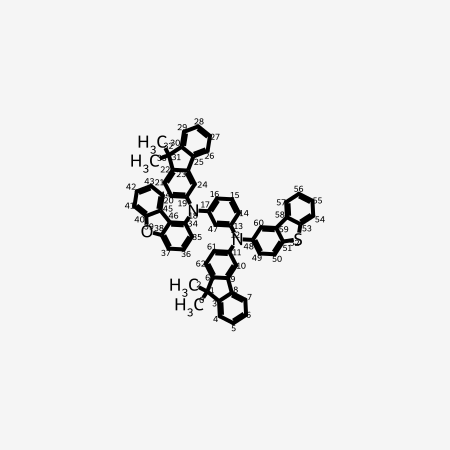 CC1(C)c2ccccc2-c2cc(N(c3cccc(N(c4ccc5c(c4)-c4ccccc4C5(C)C)c4cccc5oc6ccccc6c45)c3)c3ccc4sc5ccccc5c4c3)ccc21